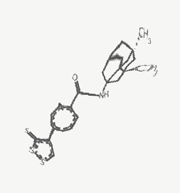 C[C@]12CC3CC(NC(=O)c4ccc(-c5cssc5=S)cc4)(C1)C[C@@](C)(C3)C2